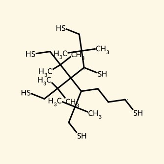 CC(C)(CS)[C](S)C(C(CC[CH]S)C(C)(C)CS)(C(C)(C)CS)C(C)(C)CS